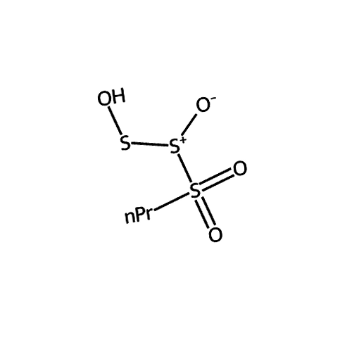 CCCS(=O)(=O)[S+]([O-])SO